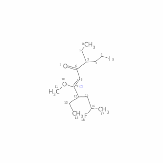 CCC(CCI)C(=O)/C=C(\OC)C(CC)CC(C)F